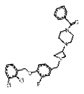 O=C(c1ccccc1)N1CCN(C2CN(Cc3ccc(OCc4cccc(Cl)c4Cl)c(F)c3)C2)CC1